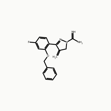 C=C1CN(C(=N)N)N=C1c1ccc(F)cc1OCc1ccccc1